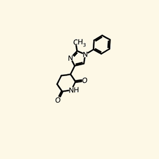 Cc1nc(C2CCC(=O)NC2=O)cn1-c1ccccc1